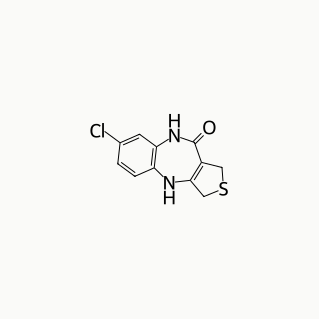 O=C1Nc2cc(Cl)ccc2NC2=C1CSC2